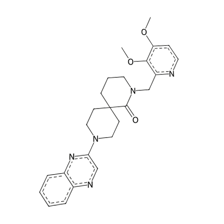 COc1ccnc(CN2CCCC3(CCN(c4cnc5ccccc5n4)CC3)C2=O)c1OC